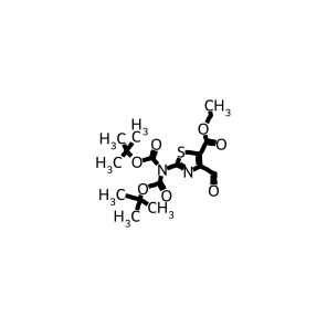 CCOC(=O)c1sc(N(C(=O)OC(C)(C)C)C(=O)OC(C)(C)C)nc1C=O